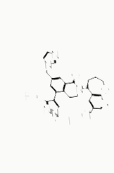 Cn1cc(-c2cc(Cn3ccnc3)cc3c2CCN([C@H]2CCCOc4ncc(Cl)cc42)C3=O)c(C(F)(F)F)n1